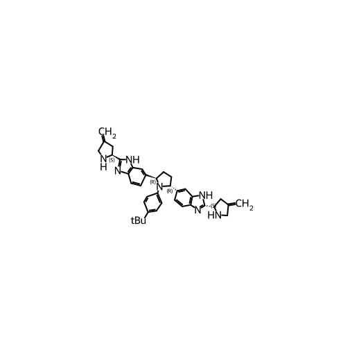 C=C1CN[C@H](c2nc3ccc([C@H]4CC[C@H](c5ccc6nc([C@@H]7CC(=C)CN7)[nH]c6c5)N4c4ccc(C(C)(C)C)cc4)cc3[nH]2)C1